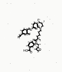 C[C@@H](CF)CN(CCCC[C@@H](C)c1nc2ccc(C(=O)O)cc2n1C[C@@H]1CCO1)c1cccc(OCc2ccc(C#N)cc2F)n1